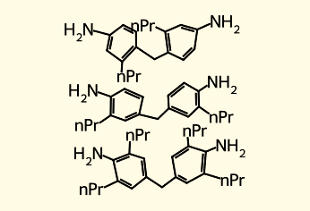 CCCc1cc(Cc2cc(CCC)c(N)c(CCC)c2)cc(CCC)c1N.CCCc1cc(Cc2ccc(N)c(CCC)c2)ccc1N.CCCc1cc(N)ccc1Cc1ccc(N)cc1CCC